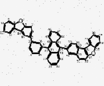 c1cc(-c2ccc3oc4ccccc4c3c2)cc(-c2c3ccccc3c(-c3ccc4c(ccc5oc6ccccc6c54)c3)c3ccccc23)c1